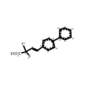 CCOC(=O)C(F)(F)C=Cc1ccc(-c2ccccc2)cc1